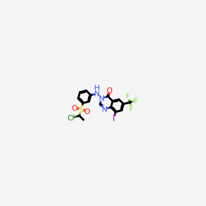 CC(Cl)S(=O)(=O)c1cccc(Nn2cnc3c(I)cc(C(F)(F)F)cc3c2=O)c1